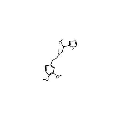 COc1ccc(CCNCC(OC)c2cccs2)cc1OC